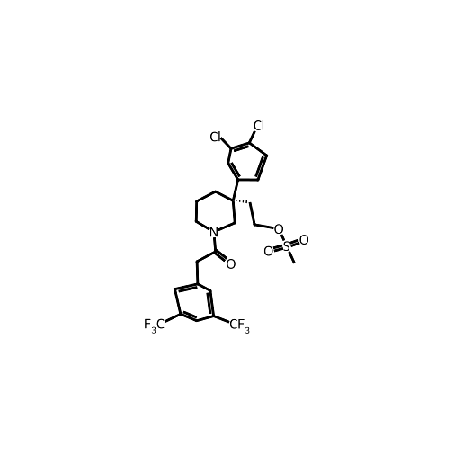 CS(=O)(=O)OCC[C@@]1(c2ccc(Cl)c(Cl)c2)CCCN(C(=O)Cc2cc(C(F)(F)F)cc(C(F)(F)F)c2)C1